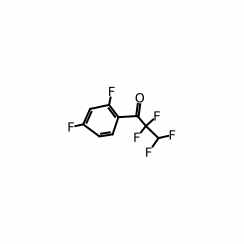 O=C(c1ccc(F)cc1F)C(F)(F)C(F)F